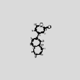 O=c1cc(-c2ccc3ccccc3c2)cco1